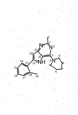 Cc1nc(N2CCCCC2)c2[nH]c(-c3ccccc3C)cc2n1